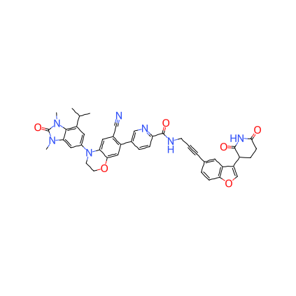 CC(C)c1cc(N2CCOc3cc(-c4ccc(C(=O)NCC#Cc5ccc6occ(C7CCC(=O)NC7=O)c6c5)nc4)c(C#N)cc32)cc2c1n(C)c(=O)n2C